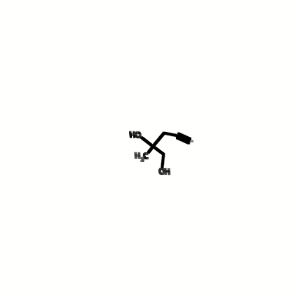 [C]#CCC(C)(O)CO